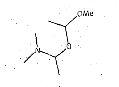 COC(C)OC(C)N(C)C